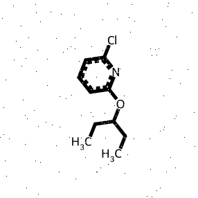 CCC(CC)Oc1cccc(Cl)n1